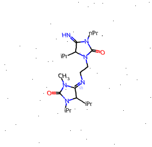 CCCN1C(=N)C(C(C)C)N(CC/N=C2/C(C(C)C)N(C(C)C)C(=O)N2C)C1=O